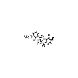 COc1cccc(C(=O)NC(C)(C(=O)c2ccc(F)c(C)c2)C(C)C)c1C